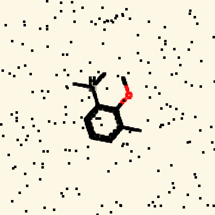 COc1c(C)cccc1[SiH](C)C